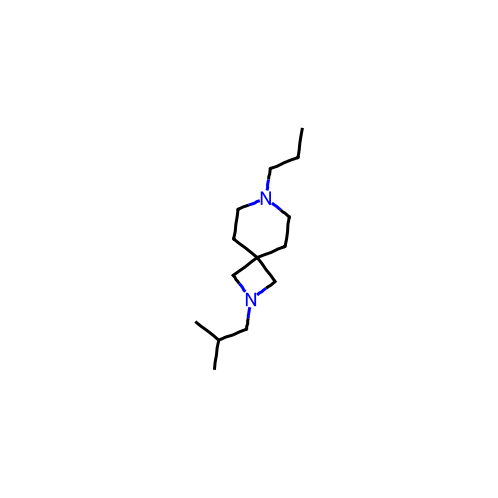 CCCN1CCC2(CC1)CN(CC(C)C)C2